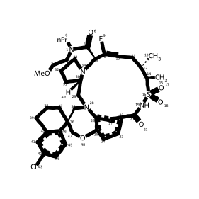 CCCN(CCOC)C(=O)[C@H]1/C(F)=C/C[C@H](C)[C@@H](C)S(=O)(=O)NC(=O)c2ccc3c(c2)N(C[C@@H]2CCCN21)C[C@@]1(CCCc2cc(Cl)ccc21)CO3